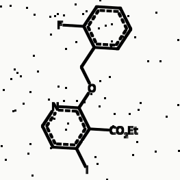 CCOC(=O)c1c(I)ccnc1OCc1ccccc1F